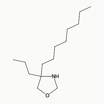 CCCCCCCCC1(CCC)COCN1